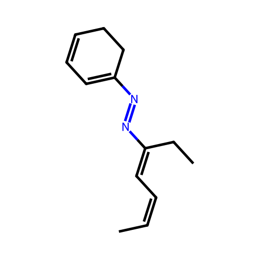 C\C=C/C=C(CC)/N=N/C1=CC=CCC1